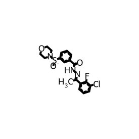 C/C(=N\NC(=O)c1cccc([S+]([O-])N2CCOCC2)c1)c1cccc(Cl)c1F